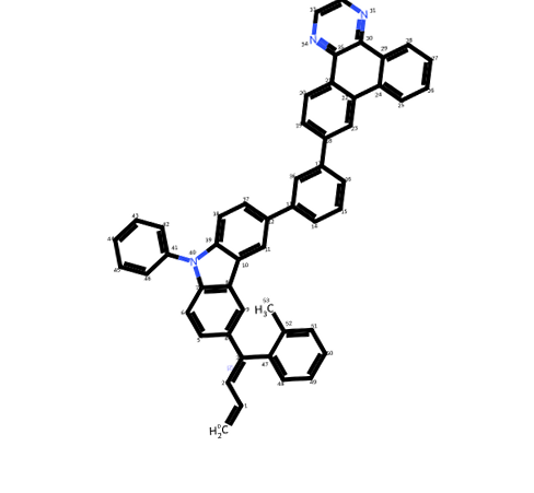 C=C/C=C(/c1ccc2c(c1)c1cc(-c3cccc(-c4ccc5c(c4)c4ccccc4c4nccnc54)c3)ccc1n2-c1ccccc1)c1ccccc1C